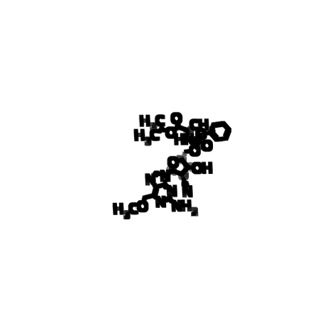 COCc1nc(N)nc2c1ncn2[C@@H]1O[C@H](CO[P@@](=O)(N[C@@H](C)C(=O)OC(C)C)Oc2ccccc2)[C@@H](O)[C@H]1C#N